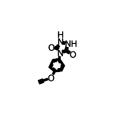 C#COc1ccc(-n2c(=O)[nH][nH]c2=O)cc1